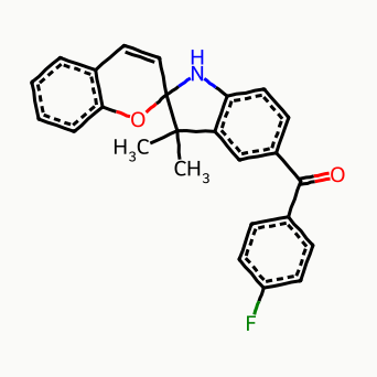 CC1(C)c2cc(C(=O)c3ccc(F)cc3)ccc2NC12C=Cc1ccccc1O2